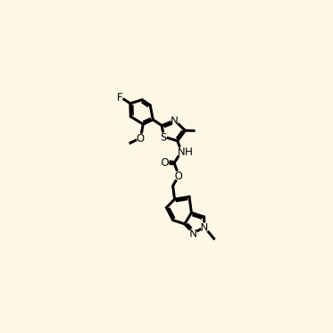 COc1cc(F)ccc1-c1nc(C)c(NC(=O)OCc2ccc3nn(C)cc3c2)s1